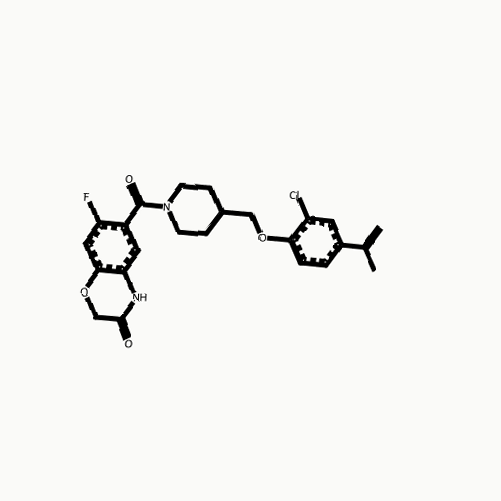 C=C(C)c1ccc(OCC2CCN(C(=O)c3cc4c(cc3F)OCC(=O)N4)CC2)c(Cl)c1